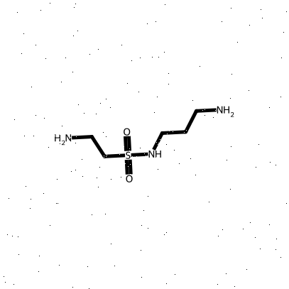 NCCCNS(=O)(=O)CCN